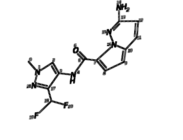 Cn1cc(NC(=O)c2ccc3ccc(N)nn23)c(C(F)F)n1